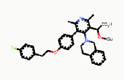 Cc1nc(C)c(C(OC(C)(C)C)C(=O)O)c(N2CCc3ccccc3C2)c1-c1ccc(OCCc2ccc(F)cc2)cc1